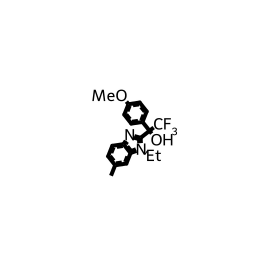 CCn1c(C(O)(c2ccc(OC)cc2)C(F)(F)F)nc2ccc(C)cc21